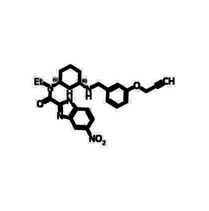 C#CCOc1cccc(CN[C@@H]2CCC[C@H](N(CC)C(=O)c3nc4cc([N+](=O)[O-])ccc4[nH]3)C2)c1